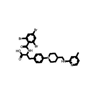 Cc1ccnc(NCC2CCN(c3ccc(CC(NC(=O)c4c(Br)cc(Br)cc4Br)C(=O)O)cc3)CC2)c1